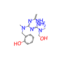 C=C(N)/N=C(\N=C(/N)N(C)CO)N(C)Cc1ccccc1O